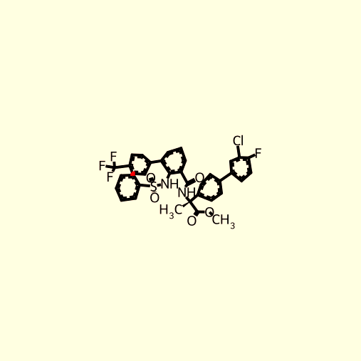 COC(=O)[C@](C)(NC(=O)c1cccc(-c2ccc(C(F)(F)F)cc2)c1NS(=O)(=O)c1ccccc1)c1ccc(-c2ccc(F)c(Cl)c2)cc1